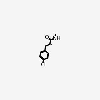 CNC(=O)[CH]Cc1ccc(Cl)cc1